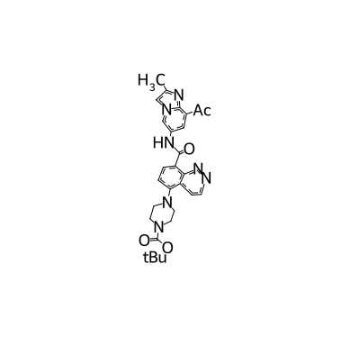 CC(=O)c1cc(NC(=O)c2ccc(N3CCN(C(=O)OC(C)(C)C)CC3)c3ccnnc23)cn2cc(C)nc12